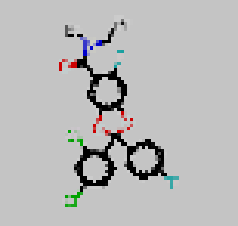 CCN(CC(C)C)C(=O)c1cc2c(cc1F)OC(c1ccc(F)cc1)(c1ccc(Cl)cc1Cl)O2